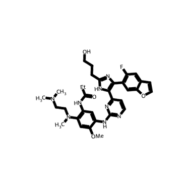 CCC(=O)Nc1cc(Nc2nccc(-c3[nH]c(CCCO)nc3-c3cc4occc4cc3F)n2)c(OC)cc1N(C)CCN(C)C